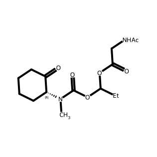 CCC(OC(=O)CNC(C)=O)OC(=O)N(C)[C@@H]1CCCCC1=O